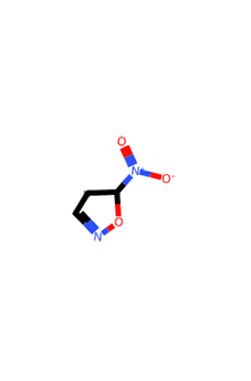 O=[N+]([O-])C1[C]C=NO1